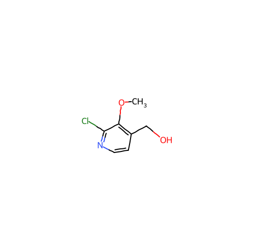 COc1c(CO)ccnc1Cl